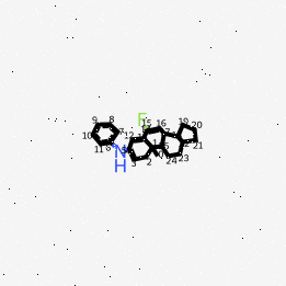 CC12CC=C(Nc3ccccc3)C=C1C(F)=CC1C3CCCC3CCC12